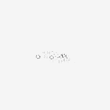 NC(=O)C1=C(O)C[C@@H]2CC3Cc4c(Cl)c(CN(CCc5ccccc5)CC5CC5)cc(O)c4C(=O)C3=C(O)[C@]2(O)C1=O